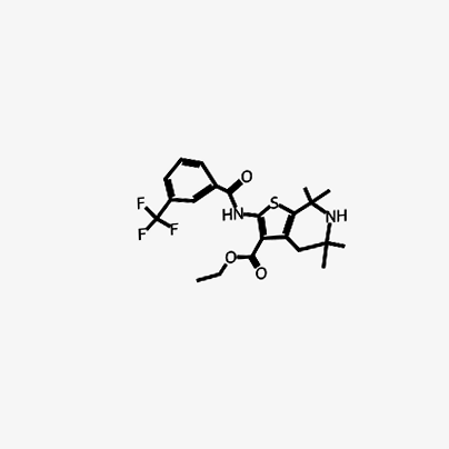 CCOC(=O)c1c(NC(=O)c2cccc(C(F)(F)F)c2)sc2c1CC(C)(C)NC2(C)C